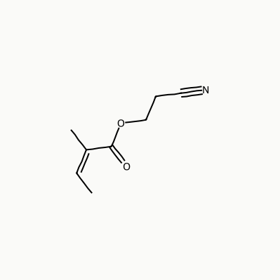 CC=C(C)C(=O)OCCC#N